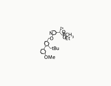 CCOP(C)(=O)CC(c1ccnc(OCc2ccc(-c3cccc(OC)c3)c(CC(C)(C)C)c2)c1)C1CC1